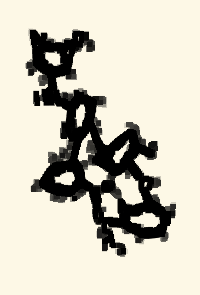 Cc1ccnc(Oc2ccc(-c3cnc(Nc4cnn(C)c4)nc3-c3cccc([N+](=O)[O-])c3)cc2F)n1